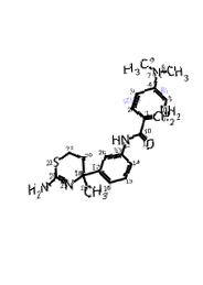 C=C(/C=C\C(=C/N)N(C)C)C(=O)Nc1cccc(C2(C)CCSC(N)=N2)c1